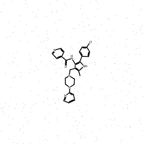 Cc1[nH]c(-c2ccc(Cl)cc2)c(NC(=O)c2ccncc2)c1CN1CCN(c2ccccn2)CC1